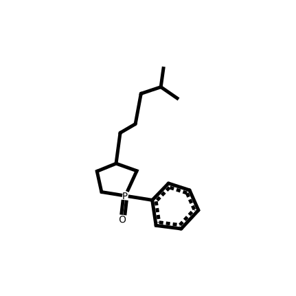 CC(C)CCCC1CCP(=O)(c2ccccc2)C1